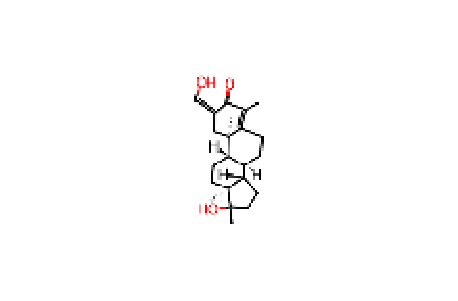 CC1=C2CC[C@@H]3[C@H](CC[C@@]4(C)[C@H]3CC[C@]4(C)O)[C@@]2(C)C/C(=C/O)C1=O